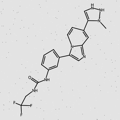 CN1NNC=C1c1ccn2c(-c3cccc(NC(=O)NCC(F)(F)F)c3)cnc2c1